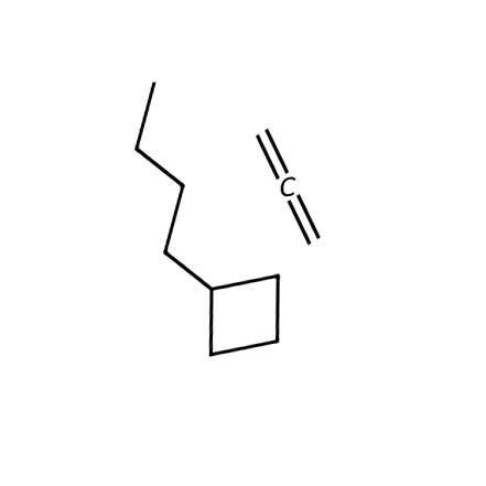 C=C=C.CCCCC1CCC1